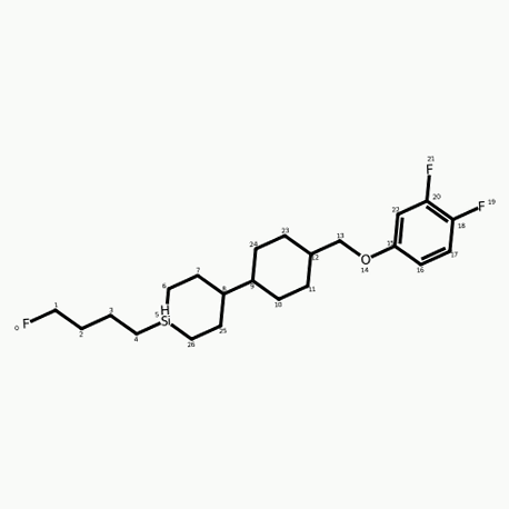 FCCCC[SiH]1CCC(C2CCC(COc3ccc(F)c(F)c3)CC2)CC1